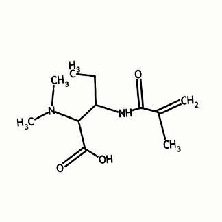 C=C(C)C(=O)NC(CC)C(C(=O)O)N(C)C